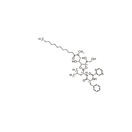 CCCCCCCCCCCC(=O)N(C)CC(O)C1OB([C@H](CC(C)C)NC(=O)[C@H](Cc2ccccc2)NC(=O)c2cnccn2)O[C@@H]1C(O)CO